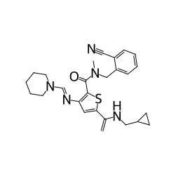 C=C(NCC1CC1)c1cc(/N=C/N2CCCCC2)c(C(=O)N(C)Cc2ccccc2C#N)s1